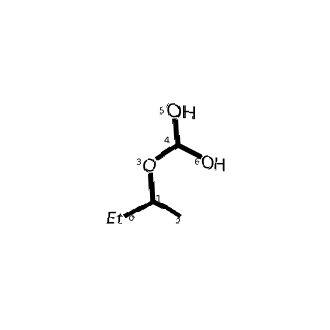 CCC(C)OC(O)O